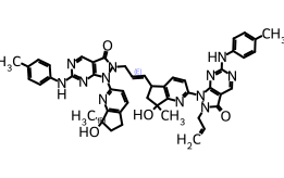 C=CCn1c(=O)c2cnc(Nc3ccc(C)cc3)nc2n1-c1ccc2c(n1)C(C)(O)CC2/C=C/Cn1c(=O)c2cnc(Nc3ccc(C)cc3)nc2n1-c1ccc2c(n1)[C@](C)(O)CC2